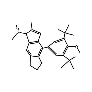 COc1c(C(C)(C)C)cc(-c2c3c(cc4c2CCC4)C([SiH](C)C)C(C)=C3)cc1C(C)(C)C